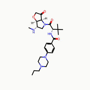 CCCN1CCN(c2ccc(C(=O)N[C@H](C(=O)N3C[C@H](NC)[C@H]4OCC(=O)[C@H]43)C(C)(C)C)cc2)CC1